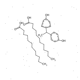 CC(c1ccc(O)cc1)c1ccc(O)cc1.CCCCCCCCCCCC(=O)O.CCCCCCCCCCCC(=O)O